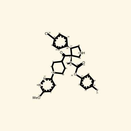 COc1ccc(N2CCC(C(=O)[C@@]3(N(C)C(=O)Oc4ccc(F)cc4)CNC[C@H]3c3ccc(Cl)cc3)CC2)nn1